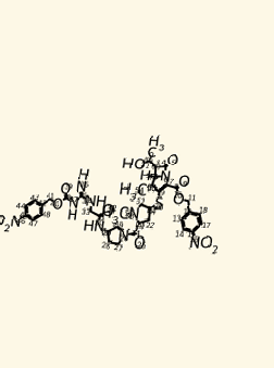 C[C@@H](O)[C@H]1C(=O)N2C(C(=O)OCc3ccc([N+](=O)[O-])cc3)=C(S[C@H]3C[C@@H](C(=O)N4CC[C@H](NC(=O)CNC(=N)NC(=O)OCc5ccc([N+](=O)[O-])cc5)C4)N(C)C3)[C@H](C)[C@H]12